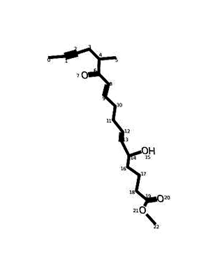 CC#CCC(C)C(=O)C=CCCC=CC(O)CCCC(=O)OC